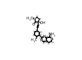 Cc1ccc(C#C[C@@]2(O)CCN(C)C2=O)cc1-c1ncc2ccnc(N)c2n1